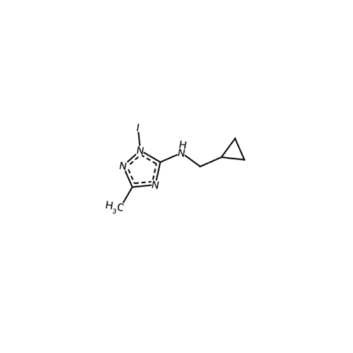 Cc1nc(NCC2CC2)n(I)n1